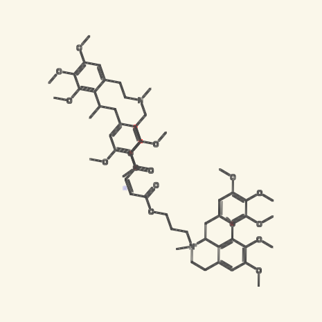 COc1cc(CC(C)c2c(CCN(C)CCCOC(=O)/C=C\C(=O)OCCC[N+]3(C)CCc4cc(OC)c(OC)c(OC)c4C3Cc3cc(OC)c(OC)c(OC)c3)cc(OC)c(OC)c2OC)cc(OC)c1OC